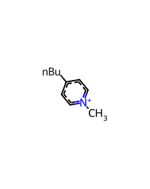 CCCCc1cc[n+](C)cc1